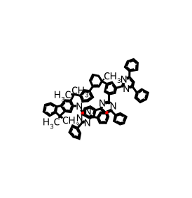 CC1(C)c2ccccc2-c2cc3c(cc21)N(c1nc(-c2ccccc2)nc(-c2ccccc2)n1)c1ccc(C2=C[C@@](C)(c4cc(-c5nc(-c6ccccc6)cc(-c6ccccc6)n5)cc(-c5nc(-c6ccccc6)cc(-c6ccccc6)n5)c4)CC=C2)cc1C3(C)C